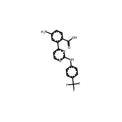 Nc1ccc(C(=O)O)c(-c2ccnc(Nc3ccc(C(F)(F)F)cc3)n2)c1